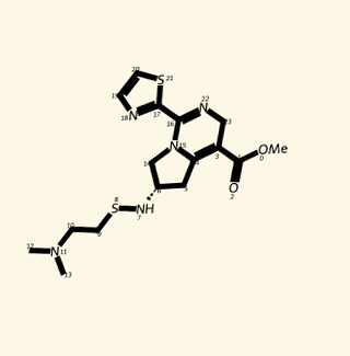 COC(=O)C1=C2C[C@H](NSCCN(C)C)CN2C(c2nccs2)=NC1